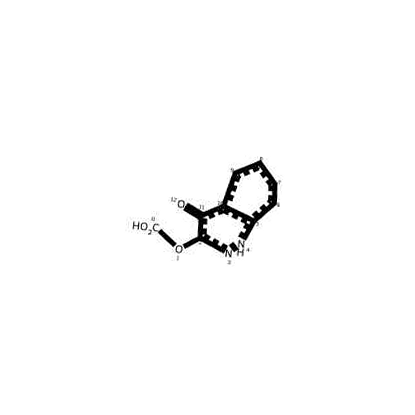 O=C(O)Oc1n[nH]c2ccccc2c1=O